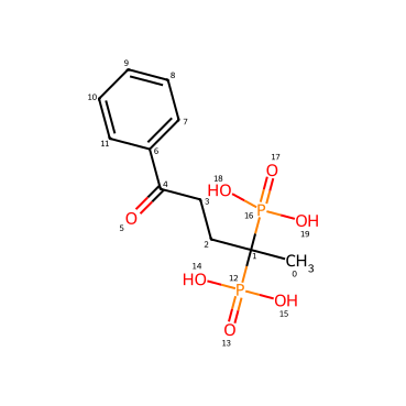 CC(CCC(=O)c1ccccc1)(P(=O)(O)O)P(=O)(O)O